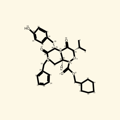 CC(C)[C@@H]1ON(C(=O)OCC2CCCCC2)[C@H]2CN(Cc3ccccc3)C(=O)[C@H](Cc3ccc(O)cc3)N2C1=O